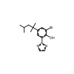 CC(C)CC(C)(C)c1cc(Br)c(O)c(-n2nccn2)c1